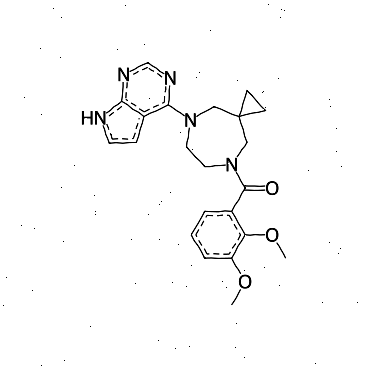 COc1cccc(C(=O)N2CCN(c3ncnc4[nH]ccc34)CC3(CC3)C2)c1OC